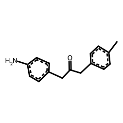 Cc1ccc(CC(=O)Cc2ccc(N)cc2)cc1